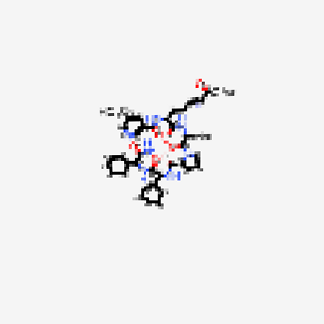 COC(=O)/C=C/CCC(NC(=O)c1cncc(C(=O)O)c1)C(=O)NC(C(=O)N1CCC[C@H]1C(=O)NC(C(=O)NC(C(N)=O)C1CCCCC1)C1CCCCC1)C(C)(C)C